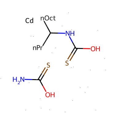 CCCCCCCCC(CCC)NC(O)=S.NC(O)=S.[Cd]